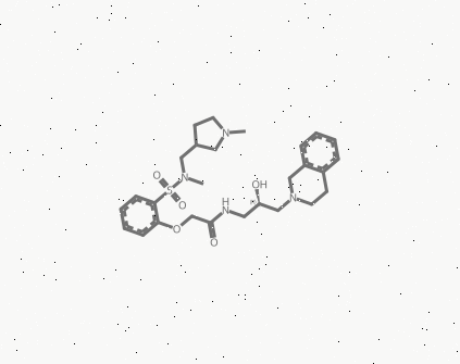 CN1CCC(CN(C)S(=O)(=O)c2ccccc2OCC(=O)NC[C@@H](O)CN2CCc3ccccc3C2)C1